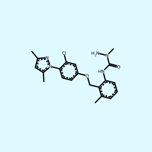 Cc1cc(C)n(-c2ccc(OCc3c(C)cccc3NC(=O)N(C)N)cc2Cl)n1